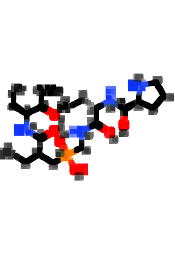 CNC(=O)[C@H](CC(C)C)NC(=O)C(CC(C)C)CP(=O)(O)CNC(=O)[C@H](CC(C)C)NC(=O)[C@@H]1CCCN1